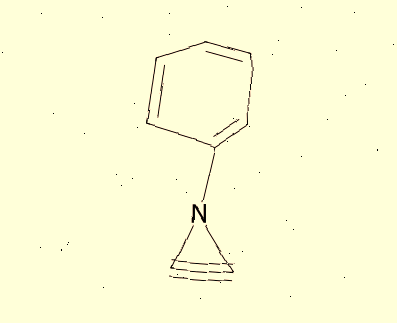 C1#CN1c1ccccc1